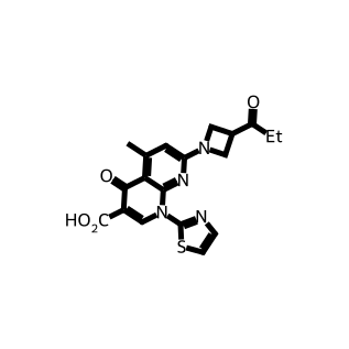 CCC(=O)C1CN(c2cc(C)c3c(=O)c(C(=O)O)cn(-c4nccs4)c3n2)C1